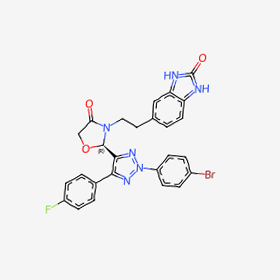 O=C1CO[C@H](c2nn(-c3ccc(Br)cc3)nc2-c2ccc(F)cc2)N1CCc1ccc2[nH]c(=O)[nH]c2c1